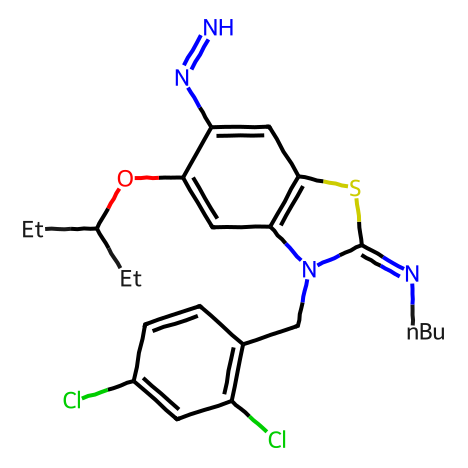 CCCC/N=c1/sc2cc(N=N)c(OC(CC)CC)cc2n1Cc1ccc(Cl)cc1Cl